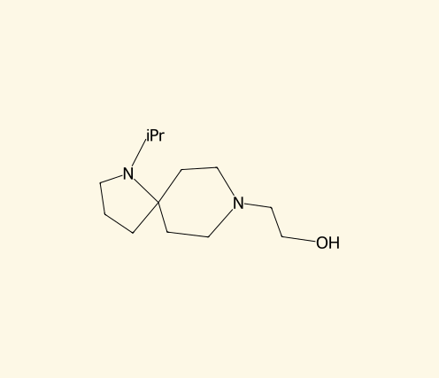 CC(C)N1CCCC12CCN(CCO)CC2